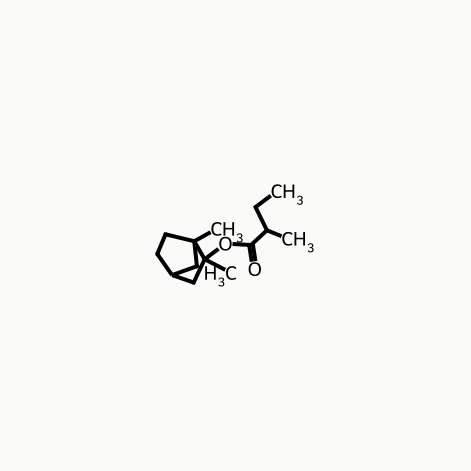 CCC(C)C(=O)OC1(C)CC2CCC1(C)C2